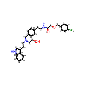 O=C(COCc1ccc(F)cc1)NCCc1ccc(CN(CCO)CCc2c[nH]c3ccccc23)cc1